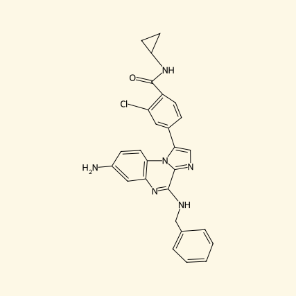 Nc1ccc2c(c1)nc(NCc1ccccc1)c1ncc(-c3ccc(C(=O)NC4CC4)c(Cl)c3)n12